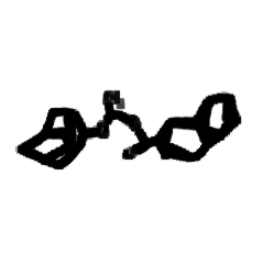 CC(OC(=O)C1CC2CC1C1C3C=CC(C3)C21)OC1C2CC3CC(C2)CC1C3